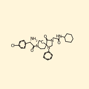 N[C@H](C(=O)N1CCC2(CC1)C(=O)N(CC(=O)NC1CCCCC1)CN2c1ccccc1)c1ccc(Cl)cc1